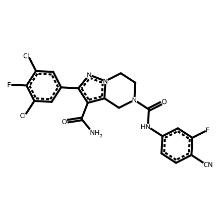 N#Cc1ccc(NC(=O)N2CCn3nc(-c4cc(Cl)c(F)c(Cl)c4)c(C(N)=O)c3C2)cc1F